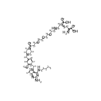 CCCCCNc1nc(N)nc2ccn(Cc3ccc(CN4CCN(C(=O)CCOCCOCCOCCNCC[C@H](SC[C@H](N)C(=O)O)C(=O)O)CC4)cc3OC)c12